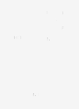 Cl.NCCCCc1cccc(C(F)(F)F)n1